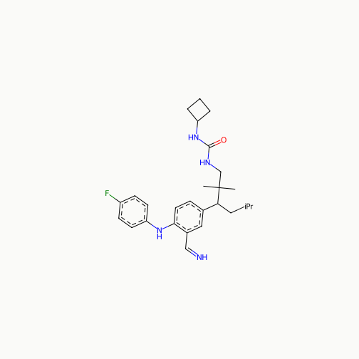 CC(C)CC(c1ccc(Nc2ccc(F)cc2)c(C=N)c1)C(C)(C)CNC(=O)NC1CCC1